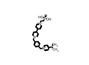 CN(C)c1cc[n+](Cc2ccc(C[n+]3ccc(-c4cc[n+](CCP(=O)(O)O)cc4)cc3)cc2)cc1